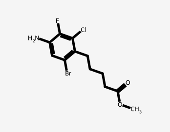 COC(=O)CCCCc1c(Br)cc(N)c(F)c1Cl